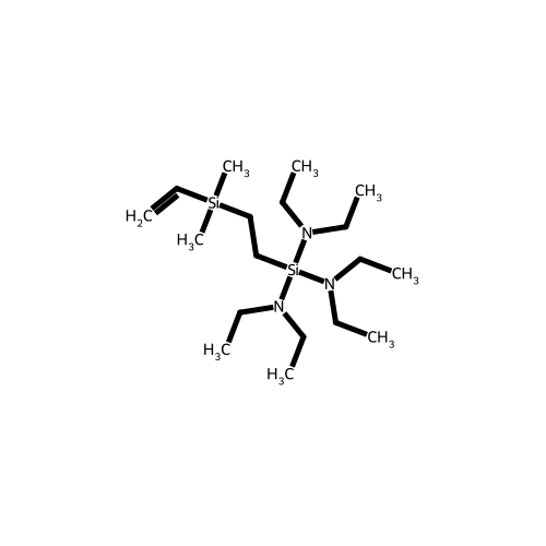 C=C[Si](C)(C)CC[Si](N(CC)CC)(N(CC)CC)N(CC)CC